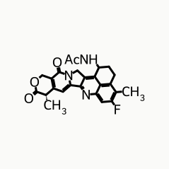 CC(=O)NC1CCc2c(C)c(F)cc3nc4c(c1c23)Cn1c-4cc2c(c1=O)COC(=O)[C@H]2C